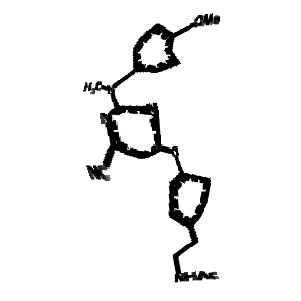 COc1ccc(N(C)c2nc(C#N)cc(Oc3ccc(CCNC(C)=O)cc3)n2)cc1